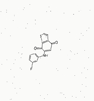 O=C1C=C(Nc2cccc(F)c2)C(=O)c2sccc21